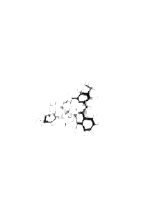 O=C(c1cc(Cc2n[nH]c(=O)c3ccccc23)cc2c1OCC2)N1CCN(C(=O)[C@@H]2CC(F)(F)CN2)CC1